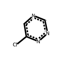 Clc1cn[c]nn1